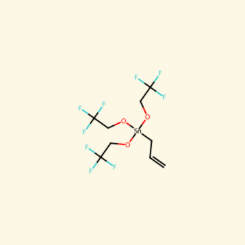 C=C[CH2][Sn]([O]CC(F)(F)F)([O]CC(F)(F)F)[O]CC(F)(F)F